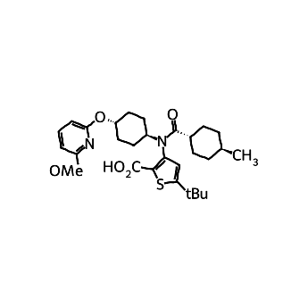 COc1cccc(O[C@H]2CC[C@H](N(c3cc(C(C)(C)C)sc3C(=O)O)C(=O)[C@H]3CC[C@H](C)CC3)CC2)n1